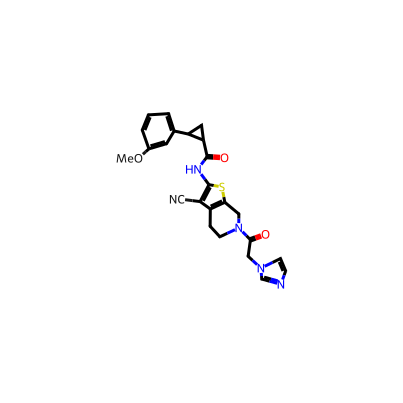 COc1cccc(C2CC2C(=O)Nc2sc3c(c2C#N)CCN(C(=O)Cn2ccnc2)C3)c1